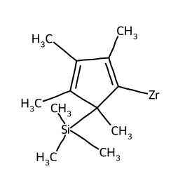 CC1=C(C)C(C)([Si](C)(C)C)[C]([Zr])=C1C